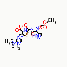 CCOC(=O)CON=C(C(=O)NC1C(=O)N2C(C(=O)[O-])=C(C[n+]3ccnc(N(C)C)c3)CS[C@@H]12)c1ccn[nH]1